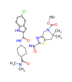 CN(C)C(=O)[C@H]1CC[C@H](NC(=O)c2cc3cc(Cl)ccc3[nH]2)[C@H](NC(=O)c2nc3c(s2)CC(C)(C)N(C(=O)OC(C)(C)C)C3)C1